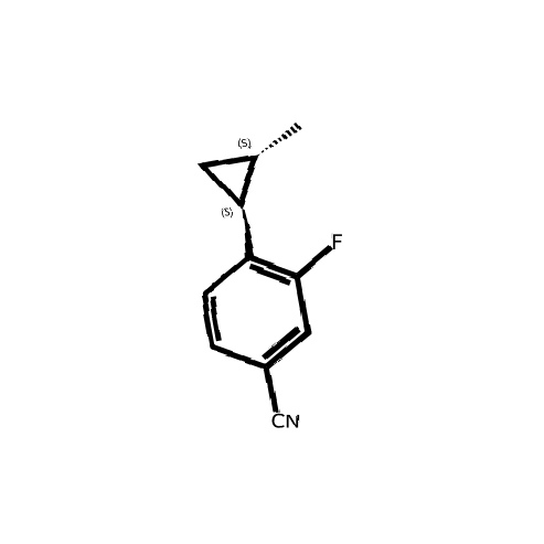 C[C@H]1C[C@@H]1c1ccc(C#N)cc1F